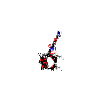 C=C1C[C@@H]2CC[C@@]34C[C@H]5OC6[C@@H](O[C@H]7CC[C@H](CC(=O)C[C@@H]8[C@@H](OC)[C@@H](C[C@H](O)CNC(=O)CCOCCOCCN=[N+]=[N-])O[C@H]8C[C@H]8O[C@@H](CC[C@@H]1O2)C[C@@H](C)C8=C)O[C@@H]7[C@@H]6O3)[C@H]5O4